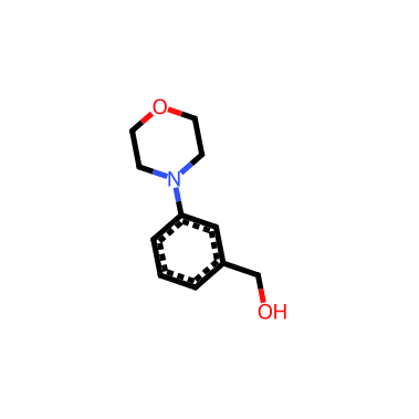 OCc1cccc(N2CCOCC2)c1